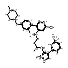 C[C@@H](CCNc1cc(Cl)ncc1-c1ncc(CN2CCN(C)CC2)cc1F)Oc1c(-c2nccc(N)n2)cnn1C